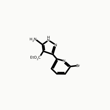 CCOC(=O)c1c(-c2cccc(Br)n2)n[nH]c1N